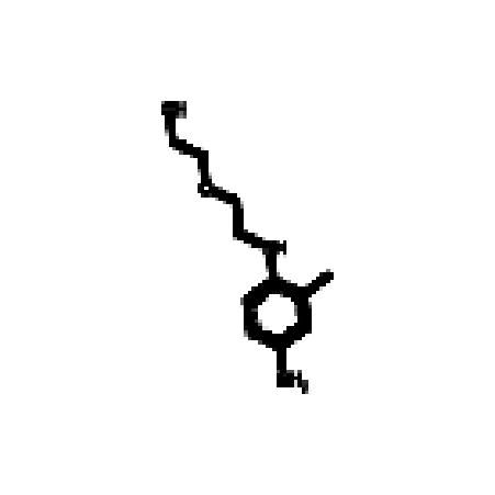 Cc1cc(N)ccc1NCCOCCO